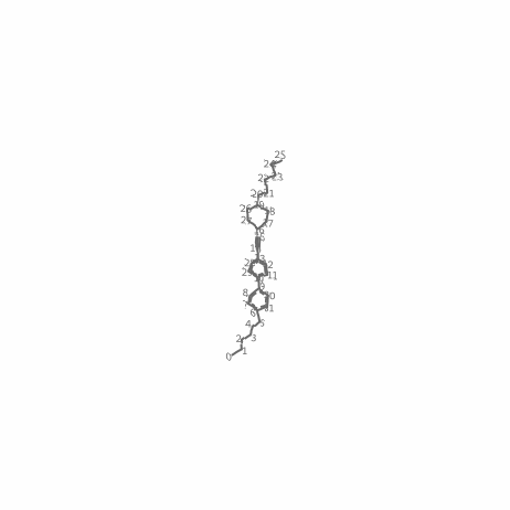 CCCCCCc1ccc(-c2ccc(C#C[C@H]3CC[C@H](CCCCCC)CC3)cc2)cc1